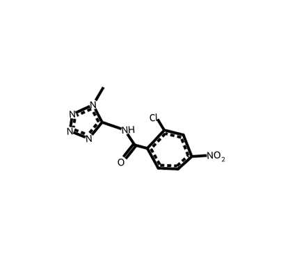 Cn1nnnc1NC(=O)c1ccc([N+](=O)[O-])cc1Cl